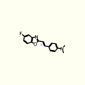 CN(C)c1ccc(/C=C/c2nc3cc(F)ccc3o2)cc1